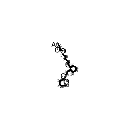 CC(=O)CC(=O)OCCCCOc1ccccc1CCOC1CCCCO1